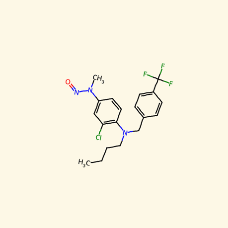 CCCCN(Cc1ccc(C(F)(F)F)cc1)c1ccc(N(C)N=O)cc1Cl